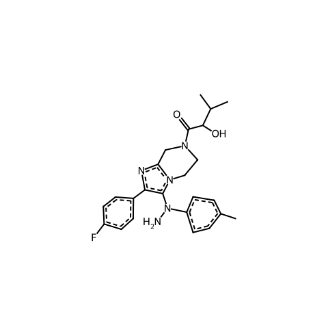 Cc1ccc(N(N)c2c(-c3ccc(F)cc3)nc3n2CCN(C(=O)C(O)C(C)C)C3)cc1